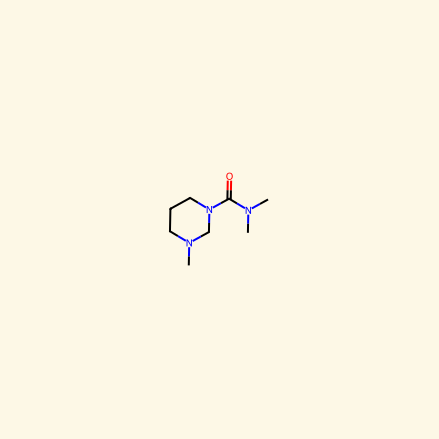 CN1CCCN(C(=O)N(C)C)C1